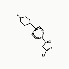 CCC(=O)CC(=O)c1ccc(C2CCC(C)CC2)cc1